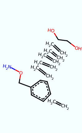 C=C.C=C.C=C.C=C.C=C.C=C.NOCc1ccccc1.OCCO